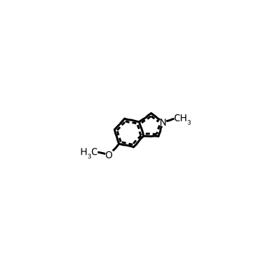 COc1ccc2cn(C)cc2c1